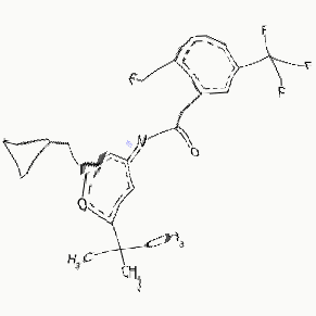 CC(C)(C)c1c/c(=N\C(=O)c2cc(C(F)(F)F)ccc2F)n(CC2CC2)o1